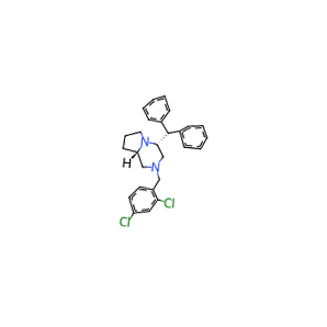 Clc1ccc(CN2C[C@@H]3CCCN3[C@H](C(c3ccccc3)c3ccccc3)C2)c(Cl)c1